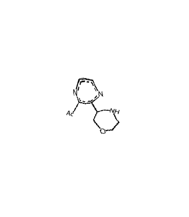 CC(=O)c1nccnc1C1COCCN1